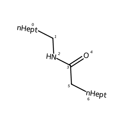 CCCCCCCCNC(=O)CCCCCCCC